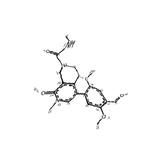 CNC(=O)N1CCc2c(-c3cc(OC)c(C=O)cc3OC)cn(C)c(=O)c2C1